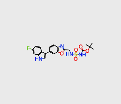 CC(C)(C)OC(=O)NS(=O)(=O)NCc1nc2ccc(-c3c[nH]c4cc(F)ccc34)cc2o1